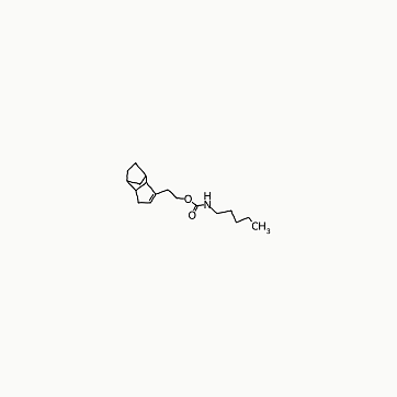 CCCCCNC(=O)OCCC1=CCC2C3CCC(C3)C12